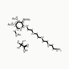 CC(=O)N[C@H]1[C@H](OCCOCCOCCOCCN)O[C@H](COC(C)=O)[C@H](OC(C)=O)[C@@H]1OC(C)=O.O=C(O)C(F)(F)F